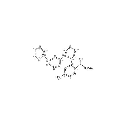 COC(=O)c1ccc(C)cc1-c1ccccc1-c1cccc(-c2ccccc2)c1